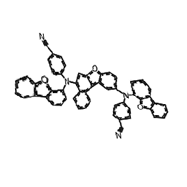 N#Cc1ccc(N(c2ccc3oc4cc(N(c5ccc(C#N)cc5)c5cccc6c5oc5ccccc56)c5ccccc5c4c3c2)c2cccc3c2oc2ccccc23)cc1